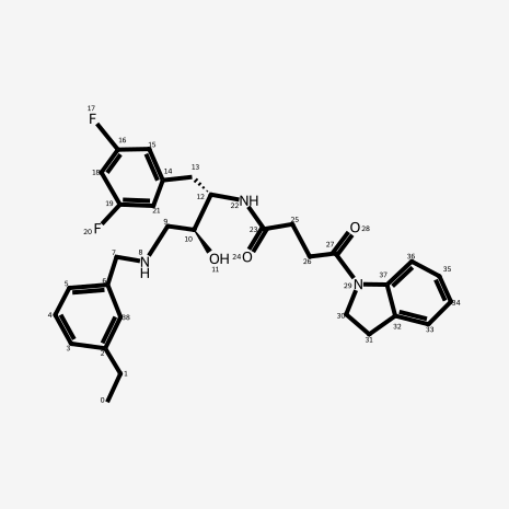 CCc1cccc(CNC[C@H](O)[C@H](Cc2cc(F)cc(F)c2)NC(=O)CCC(=O)N2CCc3ccccc32)c1